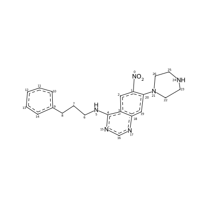 O=[N+]([O-])c1cc2c(NCCCc3ccccc3)ncnc2cc1N1CCNCC1